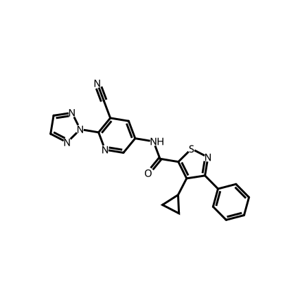 N#Cc1cc(NC(=O)c2snc(-c3ccccc3)c2C2CC2)cnc1-n1nccn1